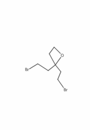 BrCCC1(CCBr)CCO1